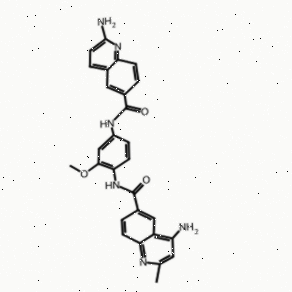 COc1cc(NC(=O)c2ccc3nc(N)ccc3c2)ccc1NC(=O)c1ccc2nc(C)cc(N)c2c1